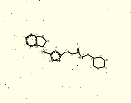 O=C(CSc1nnc(N[C@H]2CCc3ccccc32)s1)NCC1CCCCC1